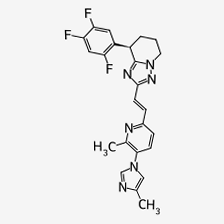 Cc1cn(-c2ccc(/C=C/c3nc4n(n3)CCC[C@@H]4c3cc(F)c(F)cc3F)nc2C)cn1